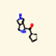 O=C(C1CCCC1)C1NCC2CNC=C21